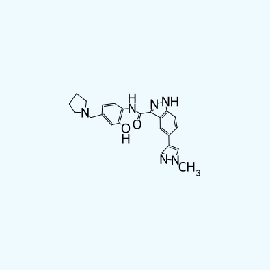 Cn1cc(-c2ccc3[nH]nc(C(=O)Nc4ccc(CN5CCCC5)cc4O)c3c2)cn1